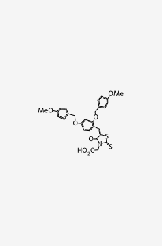 COc1ccc(COc2ccc(C=C3SC(=S)N(CC(=O)O)C3=O)c(OCc3ccc(OC)cc3)c2)cc1